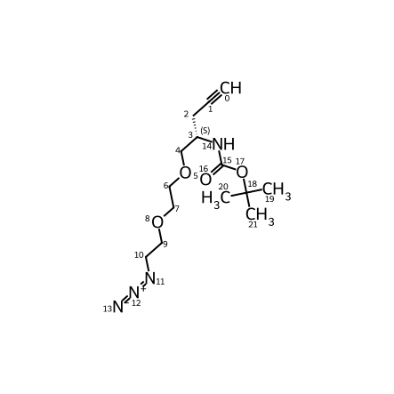 C#CC[C@@H](COCCOCCN=[N+]=[N-])NC(=O)OC(C)(C)C